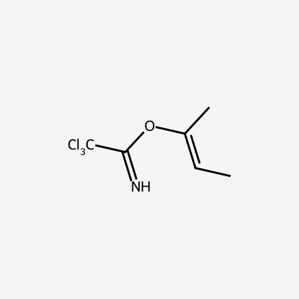 CC=C(C)OC(=N)C(Cl)(Cl)Cl